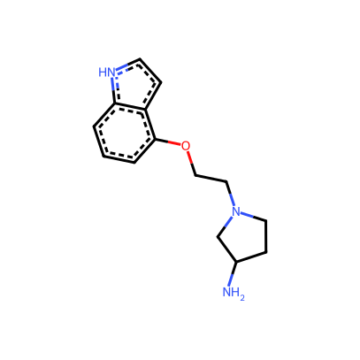 NC1CCN(CCOc2cccc3[nH]ccc23)C1